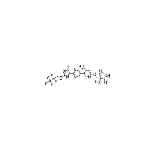 Cc1cc(OCC(C)(C)C(=O)O)ncc1-c1cnc(-c2nc(OCC(F)(F)C(F)(F)F)n[nH]2)nc1